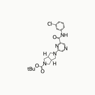 CC(C)(C)OC(=O)N1C[C@@H]2CN(c3cncc(C(=O)Nc4cccc(Cl)c4)n3)C[C@@H]2C1